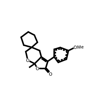 COc1ccc(C2=C3CC4(CCCCC4)COC3(C)OC2=O)cc1